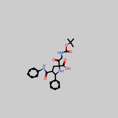 CC(C)(C)OC(=O)NCC(=O)C1(C(=O)O)CC(C(=O)Nc2ccccc2)C(c2ccccc2)N1